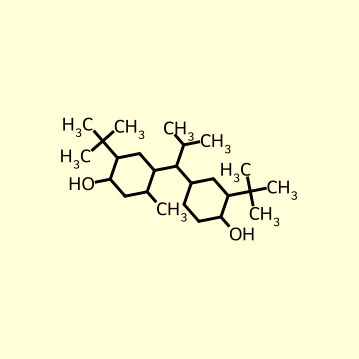 CC(C)C(C1CCC(O)C(C(C)(C)C)C1)C1CC(C(C)(C)C)C(O)CC1C